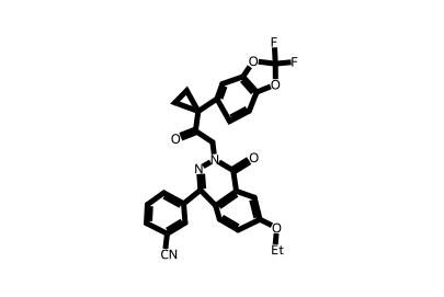 CCOc1ccc2c(-c3cccc(C#N)c3)nn(CC(=O)C3(c4ccc5c(c4)OC(F)(F)O5)CC3)c(=O)c2c1